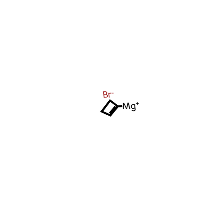 [Br-].[Mg+][C]1=CCC1